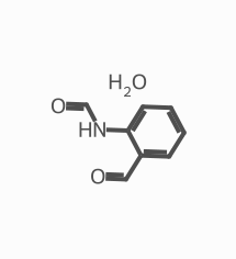 O.O=CNc1ccccc1C=O